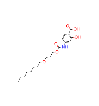 CCCCCCCCOCCCOC(=O)Nc1ccc(C(=O)O)c(O)c1